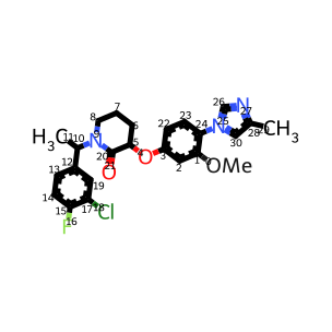 COc1cc(OC2CCCN(C(C)c3ccc(F)c(Cl)c3)C2=O)ccc1-n1cnc(C)c1